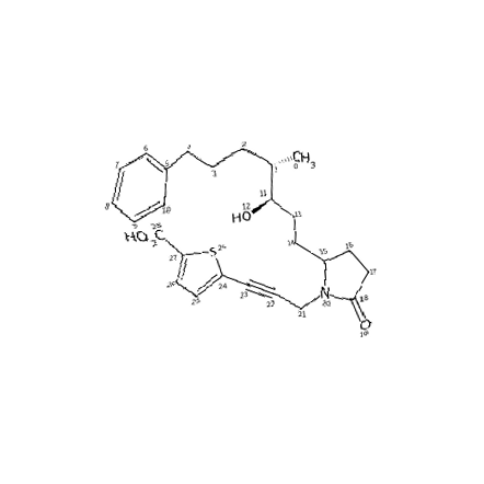 C[C@@H](CCCc1ccccc1)[C@H](O)CCC1CCC(=O)N1CC#Cc1ccc(C(=O)O)s1